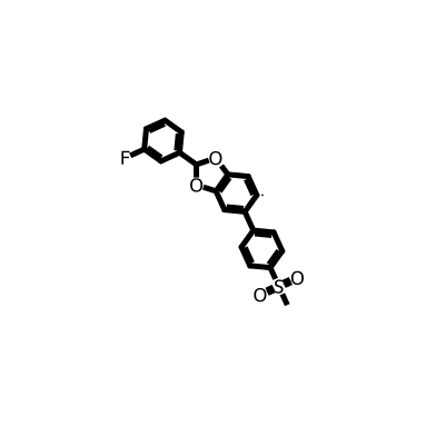 CS(=O)(=O)c1ccc(-c2[c]cc3c(c2)OC(c2cccc(F)c2)O3)cc1